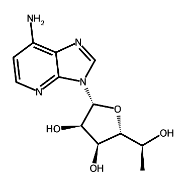 C[C@H](O)[C@H]1O[C@@H](n2cnc3c(N)ccnc32)[C@H](O)[C@@H]1O